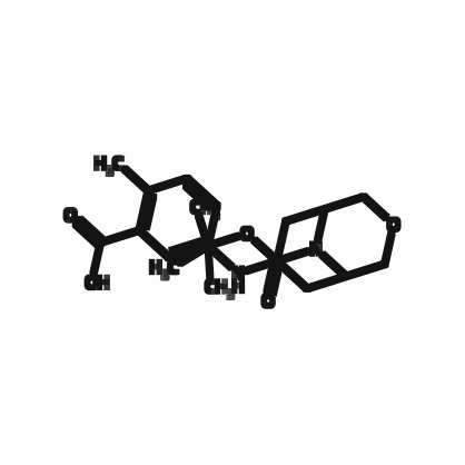 Cc1ccc(NC2CC3COCC(C2)N3C(=O)OC(C)(C)C)cc1C(=O)O